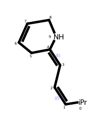 CC(C)/C=C\C=C1/CC=CCN1